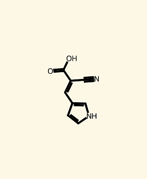 N#C/C(=C\c1cc[nH]c1)C(=O)O